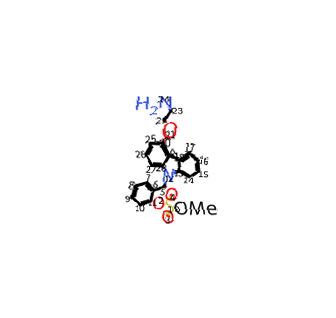 COS(=O)(=O)OC(c1ccccc1)n1c2ccccc2c2c(OCCN)cccc21